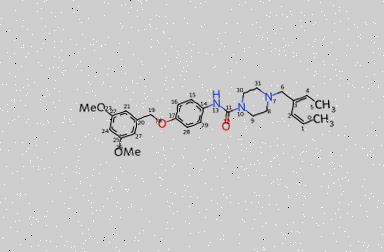 C/C=C\C(=C/C)CN1CCN(C(=O)Nc2ccc(OCc3cc(OC)cc(OC)c3)cc2)CC1